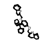 c1ccc(C2(c3cc(OCc4ccc5ccccc5n4)ccc3OCc3ccc4ccccc4n3)CC3CCC2C3)cc1